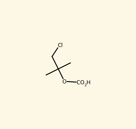 CC(C)(CCl)OC(=O)O